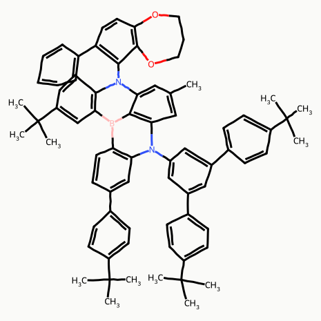 Cc1cc2c3c(c1)N(c1c(-c4ccccc4)ccc4c1OCCCO4)c1ccc(C(C)(C)C)cc1B3c1ccc(-c3ccc(C(C)(C)C)cc3)cc1N2c1cc(-c2ccc(C(C)(C)C)cc2)cc(-c2ccc(C(C)(C)C)cc2)c1